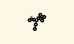 C(=C(\c1ccc(-c2ccccc2)cc1)c1ccc2sc3ccccc3c2c1)/c1cccc2c1-c1ccccc1C21c2ccccc2-c2ccccc21